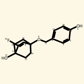 Oc1ccc(COC23C=C(F)C(O)(CC2)CC3)cc1